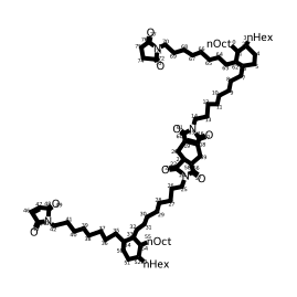 CCCCCCCCC1C(CCCCCC)CCC(CCCCCCCCN2C(=O)C3=C(CC4C(=O)N(CCCCCCCCC5C(CCCCCCCCN6C(=O)C=CC6=O)CCC(CCCCCC)C5CCCCCCCC)C(=O)C4C3)C2=O)C1CCCCCCCCN1C(=O)CCC1=O